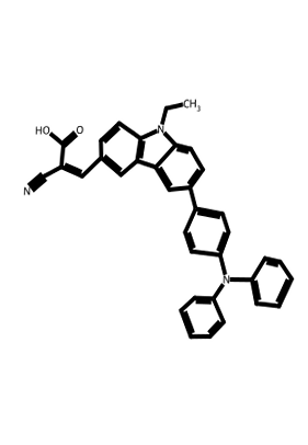 CCn1c2ccc(C=C(C#N)C(=O)O)cc2c2cc(-c3ccc(N(c4ccccc4)c4ccccc4)cc3)ccc21